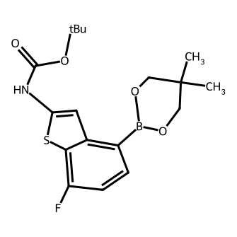 CC1(C)COB(c2ccc(F)c3sc(NC(=O)OC(C)(C)C)cc23)OC1